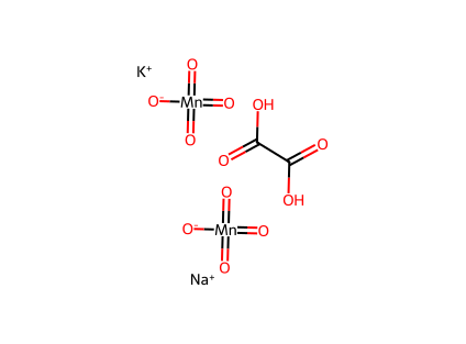 O=C(O)C(=O)O.[K+].[Na+].[O]=[Mn](=[O])(=[O])[O-].[O]=[Mn](=[O])(=[O])[O-]